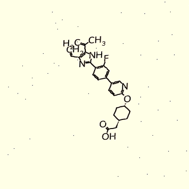 C=Cc1nc(-c2ccc(-c3ccc(O[C@H]4CC[C@H](CC(=O)O)CC4)nc3)cc2F)[nH]c1C(=C)C